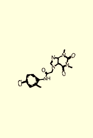 Cc1cc(Cl)ccc1NC(=O)CN1C=NC2C1C(=O)N(C)C(=O)N2C